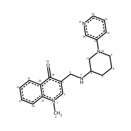 Cn1cc(CNC2CCCN(c3cccnc3)C2)c(=O)c2ccccc21